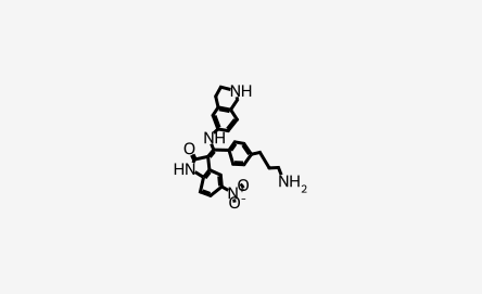 NCCCc1ccc(C(Nc2ccc3c(c2)CCNC3)=C2C(=O)Nc3ccc([N+](=O)[O-])cc32)cc1